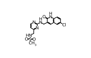 CS(=O)(=O)NCc1ccnc(NCc2cc3cc(Cl)ccc3[nH]c2=O)n1